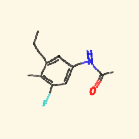 CCc1cc(NC(C)=O)cc(F)c1C